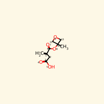 C=C(CC(=O)O)C(=O)OC1(C)COC1